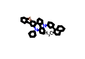 Cc1ccc2ccccc2c1-c1cccc(-n2c3ccccc3c3c(N(c4ccccc4)c4ccc5sc6ccccc6c5c4)cccc32)c1